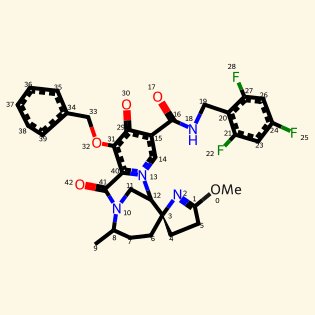 COC1=N[C@]2(CC1)CCC(C)N1CC2n2cc(C(=O)NCc3c(F)cc(F)cc3F)c(=O)c(OCc3ccccc3)c2C1=O